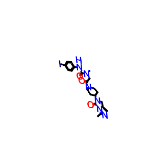 Cc1ncc2n1C(=O)N(C1CCN(C(=O)CN(C)C(=O)Nc3ccc(I)cc3)CC1)C2